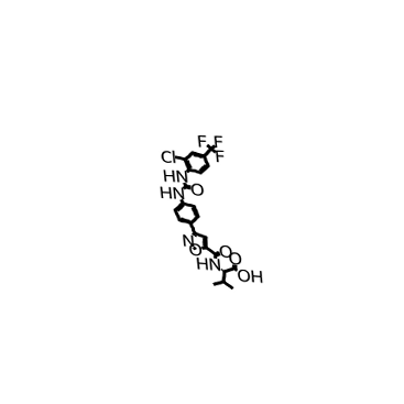 CC(C)[C@H](NC(=O)c1cc(-c2ccc(NC(=O)Nc3ccc(C(F)(F)F)cc3Cl)cc2)no1)C(=O)O